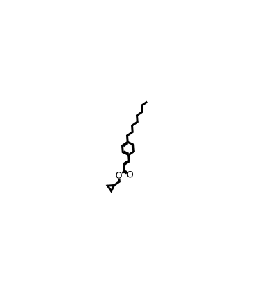 CCCCCCCCc1ccc(C=CC(=O)OCC2CC2)cc1